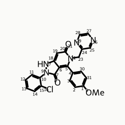 COc1ccc(-c2c3c(=O)n(-c4ccccc4Cl)[nH]c3cc(=O)n2Cc2cnccn2)cc1